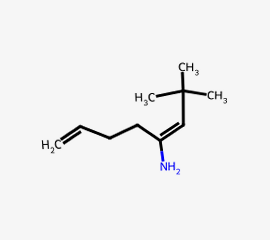 C=CCC/C(N)=C\C(C)(C)C